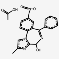 CC(=O)O.Cc1cn2c(n1)C(O)N=C(c1ccccc1)c1cc([N+](=O)[O-])ccc1-2